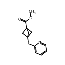 COC(=O)C12CC(Sc3ccccn3)(C1)C2